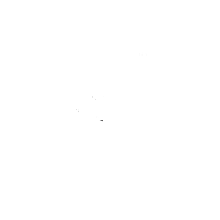 CCCOCCOC(=O)n1ccnc1[C@@H](C)c1cccc(C)c1C